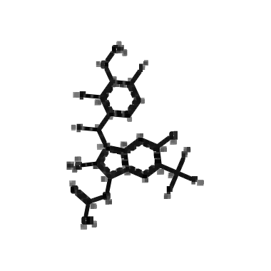 COc1c(F)ccc(C(F)n2c(C)c(OC(C)=O)c3cc(C(F)(F)F)c(Cl)cc32)c1F